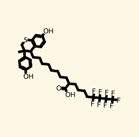 CC1(c2ccc(O)cc2)CSc2cc(O)ccc2C1CCCCCCCCC(CCCCC(F)(F)C(F)(F)C(F)(F)C(F)(F)F)C(=O)O